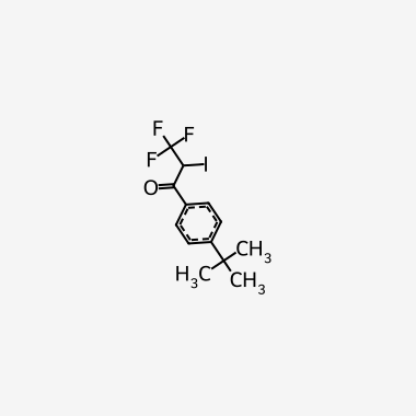 CC(C)(C)c1ccc(C(=O)C(I)C(F)(F)F)cc1